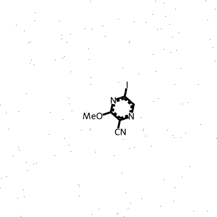 COc1nc(I)cnc1C#N